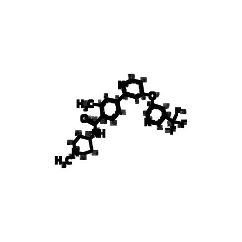 Cc1cc(-c2cc(Oc3cncc(C(F)(F)F)c3)ccn2)ccc1C(=O)NC1CCN(C)CC1